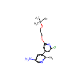 Cc1ncc(N)cc1-c1cc(Cl)nc(OCCO[Si](C)(C)C(C)(C)C)c1